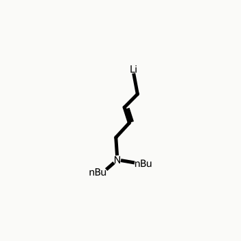 [Li][CH2]C=CCN(CCCC)CCCC